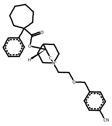 N#Cc1ccc(COCC[N+]23CCC(CC2)[C@@H](OC(=O)C2(c4ccccc4)CCCCCC2)C3)cc1